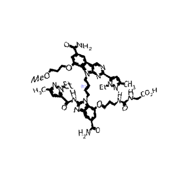 CCn1nc(C)cc1C(=O)Nc1nc2cc(C(N)=O)cc(OCCCNC(=O)NCC(=O)O)c2n1C/C=C/Cn1c2nc(-c3cc(C)nn3CC)ncc2c2cc(C(N)=O)cc(OCCCOC)c21